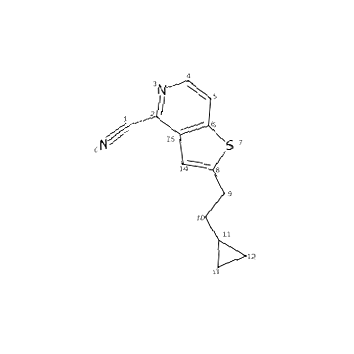 N#Cc1nccc2sc(CCC3CC3)cc12